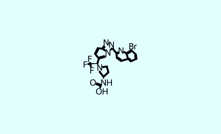 O=C(O)N[C@H]1CCN([C@H](c2ccc3nnc(-c4ccc5cccc(Br)c5n4)n3c2)C(F)(F)F)C1